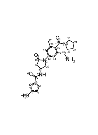 Bc1ccc(C(=O)NC2CC(=O)N(c3ccc(C(=O)N4CCC[C@@H]4CN)c(C)c3)C2)s1